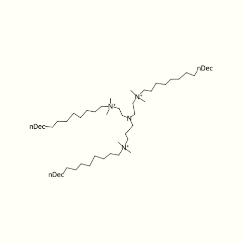 CCCCCCCCCCCCCCCCCC[N+](C)(C)CCCN(CC[N+](C)(C)CCCCCCCCCCCCCCCCCC)CC[N+](C)(C)CCCCCCCCCCCCCCCCCC